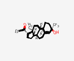 CCC(=O)[C@H]1CC[C@H]2[C@@H]3CCC4=C[C@@](O)(C(F)(F)F)CC[C@@H]4[C@H]3CC[C@]12C